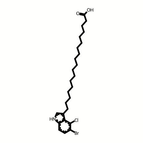 O=C(O)CCCCCCCCCCCCCCCCCc1c[nH]c2ccc(Br)c(Cl)c12